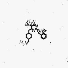 NCC1CCC(Cc2nc(NCc3ccccc3Br)nc(N)c2Br)CC1